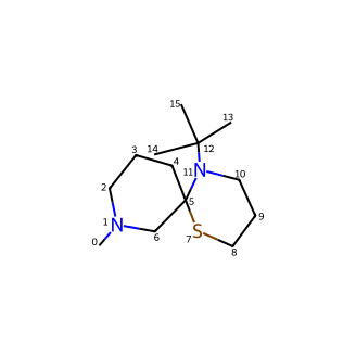 CN1CCCC2(C1)SCCCN2C(C)(C)C